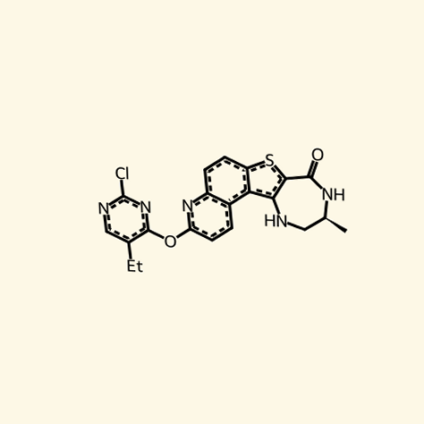 CCc1cnc(Cl)nc1Oc1ccc2c(ccc3sc4c(c32)NC[C@H](C)NC4=O)n1